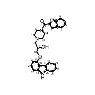 O=C(c1cc2ccccc2o1)N1CCN(CC(O)COc2cccc3[nH]c4ccccc4c23)CC1